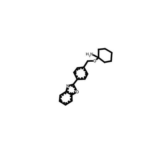 NC1(OCc2ccc(-c3nc4ccccc4o3)cc2)[CH]CCCC1